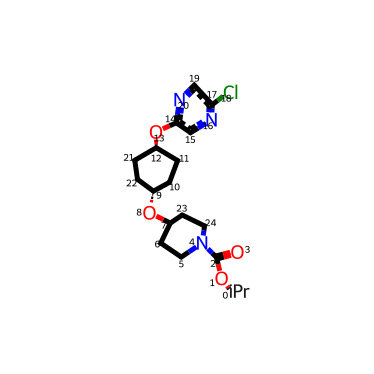 CC(C)OC(=O)N1CCC(O[C@H]2CC[C@H](Oc3cnc(Cl)cn3)CC2)CC1